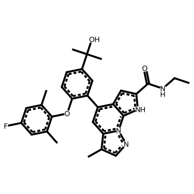 CCNC(=O)c1cc2c(-c3cc(C(C)(C)O)ccc3Oc3c(C)cc(F)cc3C)cc3c(C)cnn3c2[nH]1